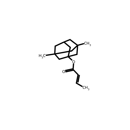 CC=CC(=O)OC12CC3CC(C)(CC(C)(C3)C1)C2